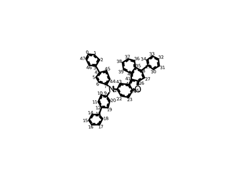 c1ccc(-c2ccc(N(c3ccc(-c4ccccc4)cc3)c3ccc4oc5cc(-c6ccccc6)c6ccccc6c5c4c3)cc2)cc1